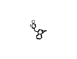 C=C1c2cc(Cc3ccc(Cl)nc3)c3ccccc3c21